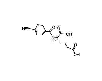 N#Cc1ccc(C(=O)N[C@@H](CCCC(=O)O)C(=O)O)cc1